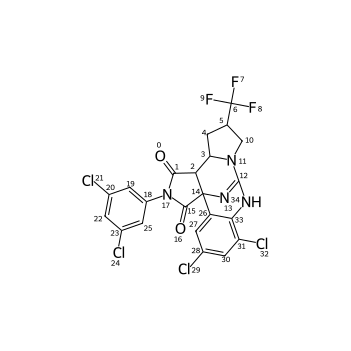 O=C1C2C3CC(C(F)(F)F)CN3C3=NC2(C(=O)N1c1cc(Cl)cc(Cl)c1)c1cc(Cl)cc(Cl)c1N3